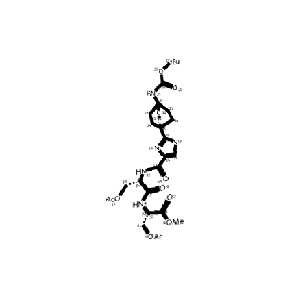 COC(=O)[C@H](COC(C)=O)NC(=O)[C@H](COC(C)=O)NC(=O)c1csc(C23CCC(NC(=O)OC(C)(C)C)(CC2)CC3)n1